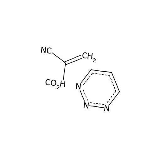 C=C(C#N)C(=O)O.c1cnnnc1